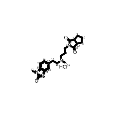 CN(CCCN1C(=O)C2CCCC2C1=O)CCc1ccc2c(c1)sc(=O)n2C.Cl